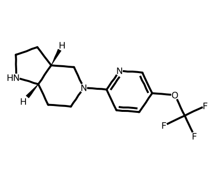 FC(F)(F)Oc1ccc(N2CC[C@@H]3NCC[C@@H]3C2)nc1